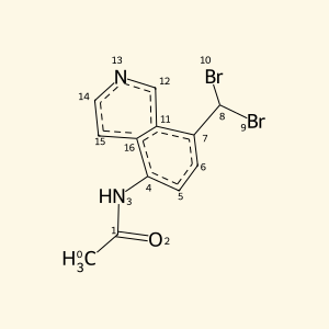 CC(=O)Nc1ccc(C(Br)Br)c2cnccc12